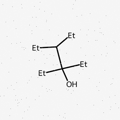 CCC(CC)C(O)(CC)CC